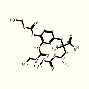 CCOC(=O)Oc1ccc(CC(N)(C[C@H](C)OC(=O)OC)C(=O)O)cc1OC(=O)OCC